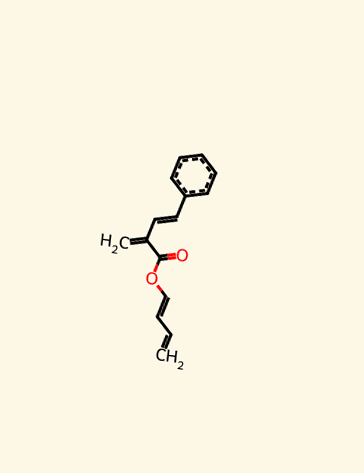 C=CC=COC(=O)C(=C)C=Cc1ccccc1